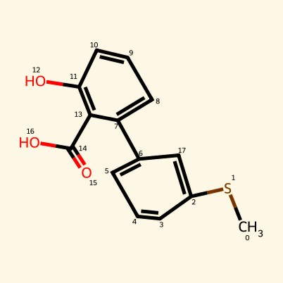 CSc1cccc(-c2cccc(O)c2C(=O)O)c1